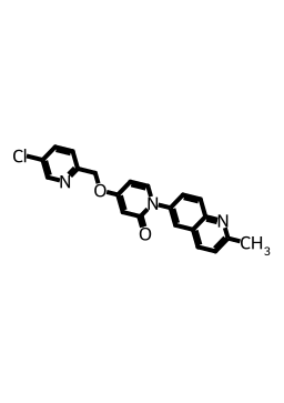 Cc1ccc2cc(-n3ccc(OCc4ccc(Cl)cn4)cc3=O)ccc2n1